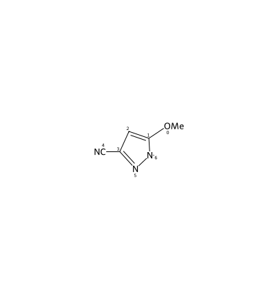 COC1=CC(C#N)=N[N]1